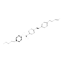 CCCCCc1ccc(OC(=O)C2CCC(/C=C/C3CCC(CCCCC)CC3)CC2)cc1